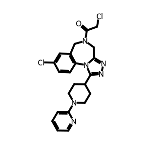 O=C(CCl)N1Cc2cc(Cl)ccc2-n2c(nnc2C2CCN(c3ccccn3)CC2)C1